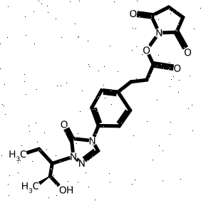 CCC([C@H](C)O)n1ncn(-c2ccc(CCC(=O)ON3C(=O)CCC3=O)cc2)c1=O